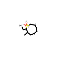 CC(C)CC1C(C)CCCCCCS1(=O)=O